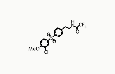 COc1ccc(S(=O)(=O)c2ccc(CCNC(=O)C(F)(F)F)cc2)cc1Cl